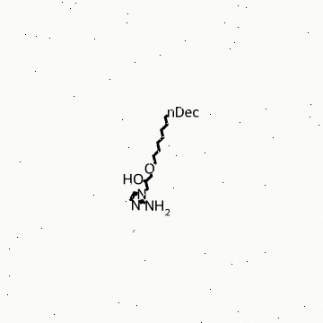 CCCCCCCCCCCCCCCCCCOCC(O)Cn1ccnc1N